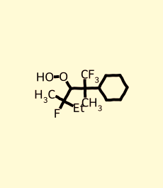 CCC(C)(F)C(OO)C(C)(C1CCCCC1)C(F)(F)F